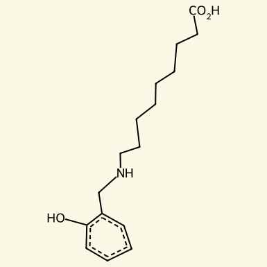 O=C(O)CCCCCCCCNCc1ccccc1O